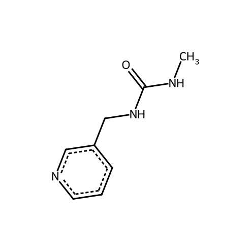 CNC(=O)NCc1cccnc1